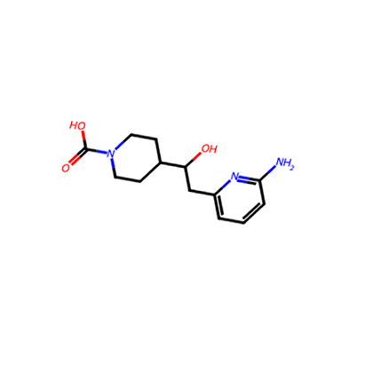 Nc1cccc(CC(O)C2CCN(C(=O)O)CC2)n1